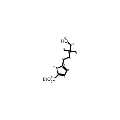 CCOC(=O)c1ccc(CCC(C)(C)CO)s1